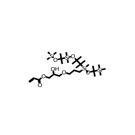 C=CC(=O)OCC(O)COCCC[Si](C)(OC(C)(C)[Si](C)(C)C)C(C)(C)C(C)(C)O[Si](C)(C)C(C)(C)O[Si](C)(C)C